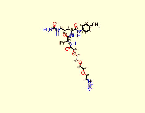 [CH2]c1ccc(NC(=O)[C@H](CCCNC(N)=O)NC(=O)[C@@H](NC(=O)COCCOCCOCCN=[N+]=[N-])C(C)C)cc1